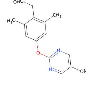 COc1cnc(Oc2cc(C)c(CC=O)c(C)c2)nc1